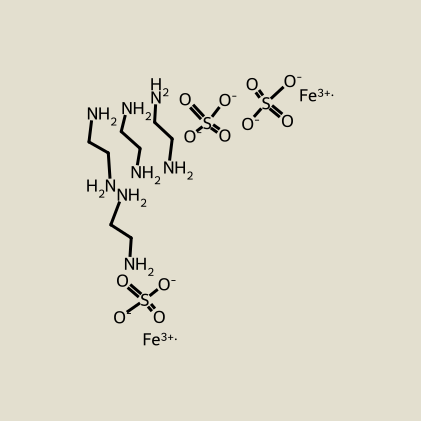 NCCN.NCCN.NCCN.NCCN.O=S(=O)([O-])[O-].O=S(=O)([O-])[O-].O=S(=O)([O-])[O-].[Fe+3].[Fe+3]